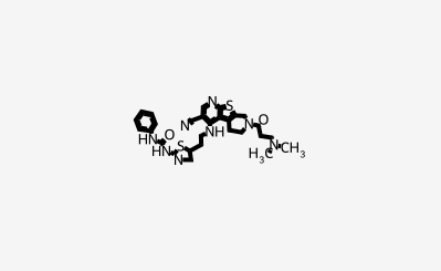 CN(C)CCC(=O)N1CCc2c(sc3ncc(C#N)c(NCCC4CN=C(NC(=O)Nc5ccccc5)S4)c23)C1